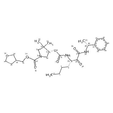 CCCC[C@H](NC(=O)O[C@@H]1CN(C(=O)OCC2CCOC2)CC1(C)C)C(=O)C(=O)N[C@H](C)c1ccccc1